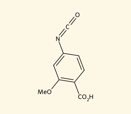 COc1cc(N=C=O)ccc1C(=O)O